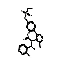 CCS(=O)(=O)Nc1ccc(-c2onc(C)c2N(C(=O)O)C(C)c2ccccc2Cl)cc1